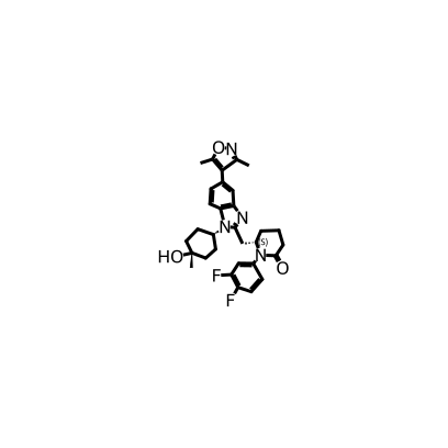 Cc1noc(C)c1-c1ccc2c(c1)nc(C[C@@H]1CCCC(=O)N1c1ccc(F)c(F)c1)n2[C@H]1CC[C@@](C)(O)CC1